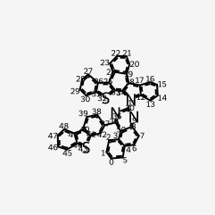 c1ccc2c(c1)ccc1nc(-n3c4ccccc4c4c5ccccc5c5c6ccccc6sc5c43)nc(-c3ccc4c(c3)sc3ccccc34)c12